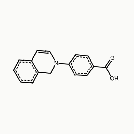 O=C(O)c1ccc(N2C=Cc3ccccc3C2)cc1